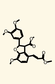 COC(=O)/C=C/c1ccc(OC)c2c1C(C(=O)OC)C(c1ccc(OC)c(OC)c1)O2